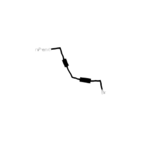 CCCCCCC#CCC#CCBr